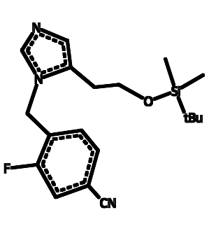 CC(C)(C)[Si](C)(C)OCCc1cncn1Cc1ccc(C#N)cc1F